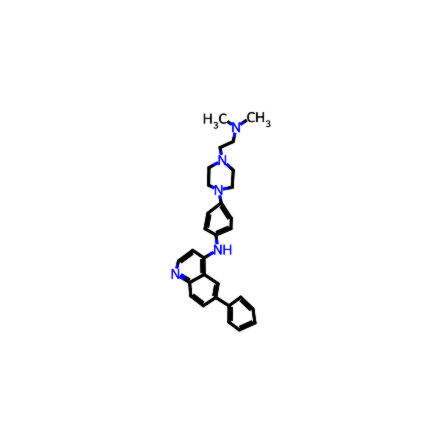 CN(C)CCN1CCN(c2ccc(Nc3ccnc4ccc(-c5ccccc5)cc34)cc2)CC1